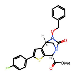 COC(=O)[C@@H]1c2sc(-c3ccc(F)cc3)cc2[C@@H]2CN1C(=O)N2OCc1ccccc1